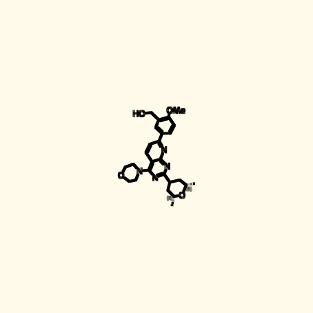 COc1ccc(-c2ccc3c(N4CCOCC4)nc(C4C[C@@H](C)O[C@@H](C)C4)nc3n2)cc1CO